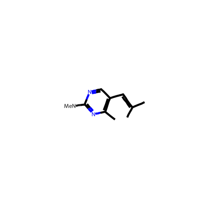 CNc1ncc(C=C(C)C)c(C)n1